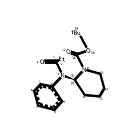 CCC(=O)N(c1ccccc1)[C@@H]1CCCCN1C(=O)OC(C)(C)C